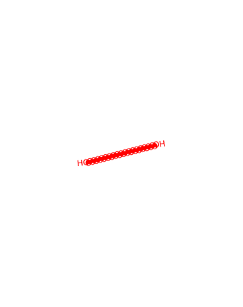 OOOOOOOOOOOOOOOOOOOOOOOOOOOOOOOOOOOOO